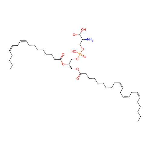 CCCC/C=C\C/C=C\CCCCCCCC(=O)O[C@H](COC(=O)CCCCC/C=C\C/C=C\C/C=C\C/C=C\CCCCC)COP(=O)(O)OC[C@H](N)C(=O)O